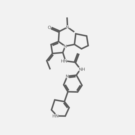 C=C(Nc1ccc(C2=CCNCC2)cn1)NC1/C(=C\C)C=C(C(=O)N(C)C)N1C1CCCC1